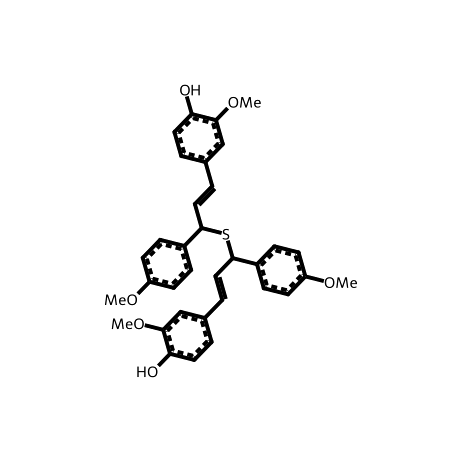 COc1ccc(C(C=Cc2ccc(O)c(OC)c2)SC(C=Cc2ccc(O)c(OC)c2)c2ccc(OC)cc2)cc1